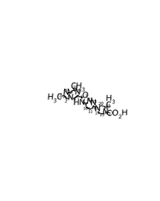 Cc1cn2cc(C(=O)Nc3ccc(N4CCN(C(=O)O)[C@@H](C)C4)nn3)nc(C)c2n1